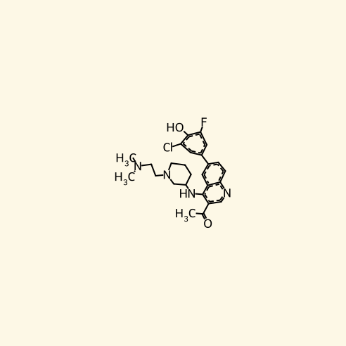 CC(=O)c1cnc2ccc(-c3cc(F)c(O)c(Cl)c3)cc2c1NC1CCCN(CCN(C)C)C1